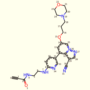 C#CC(=O)NCCNc1ccc(-c2cc(OCCCN3CCOCC3)cn3ncc(C#N)c23)cn1